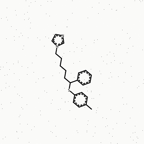 Cc1ccc(SC(CCCCCn2ccnc2)c2ccccc2)cc1